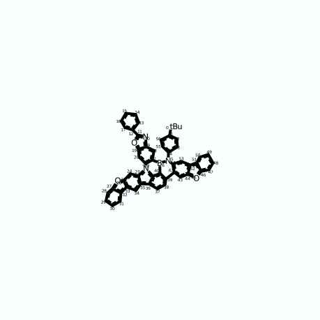 CC(C)(C)c1ccc(N2B3c4cc5nc(-c6ccccc6)oc5cc4-n4c5cc6oc7ccccc7c6cc5c5ccc(c3c54)-c3cc4oc5ccccc5c4cc32)cc1